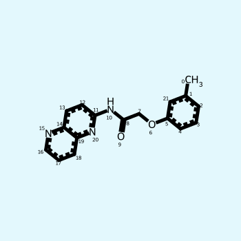 Cc1cccc(OCC(=O)Nc2ccc3ncccc3n2)c1